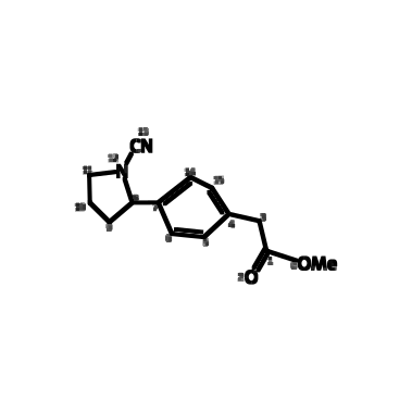 COC(=O)Cc1ccc(C2CCCN2C#N)cc1